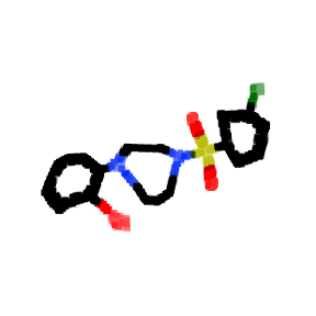 O=S(=O)(c1cccc(Cl)c1)N1CCN(c2ccccc2O)CC1